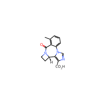 Cc1cccc2c1C(=O)N1CC[C@H]1c1c(C(=O)O)ncn1-2